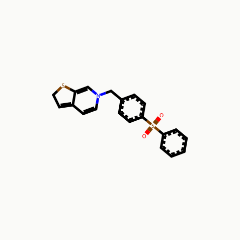 O=S(=O)(c1ccccc1)c1ccc(CN2C=CC3=CCSC3=C2)cc1